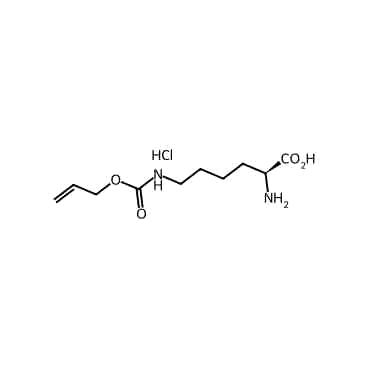 C=CCOC(=O)NCCCC[C@H](N)C(=O)O.Cl